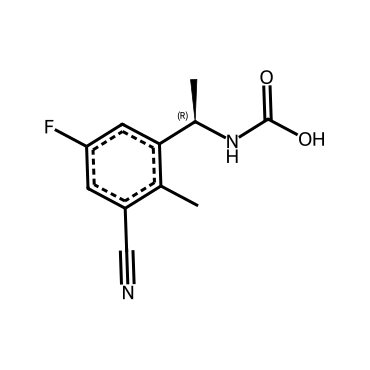 Cc1c(C#N)cc(F)cc1[C@@H](C)NC(=O)O